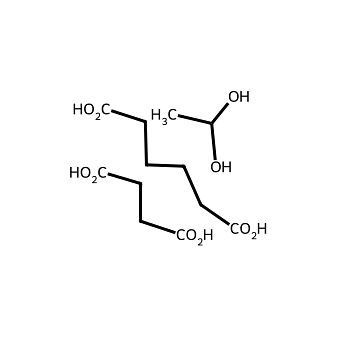 CC(O)O.O=C(O)CCC(=O)O.O=C(O)CCCCC(=O)O